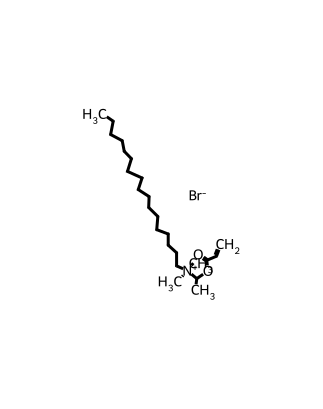 C=CC(=O)OC(C)[N+](C)(C)CCCCCCCCCCCCCCCCC.[Br-]